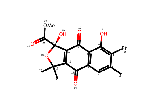 CCc1c(C)cc2c(c1O)C(=O)C1=C(C2=O)C(C)(C)O[C@]1(O)C(=O)OC